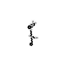 O=C1CN2Cc3c(cccc3OCCCCC(=O)N(CCO)CCCCC3CCCC3)N=C2N1